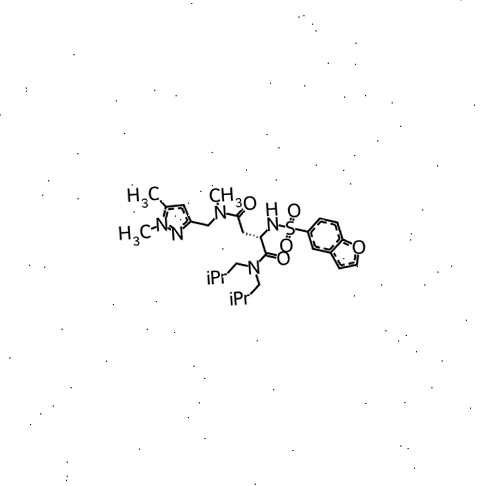 Cc1cc(CN(C)C(=O)C[C@H](NS(=O)(=O)c2ccc3occc3c2)C(=O)N(CC(C)C)CC(C)C)nn1C